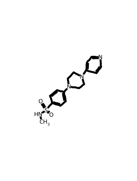 CNS(=O)(=O)c1ccc(N2CCN(c3ccncc3)CC2)cc1